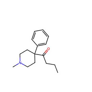 CCCC(=O)C1(c2ccccc2)CCN(C)CC1